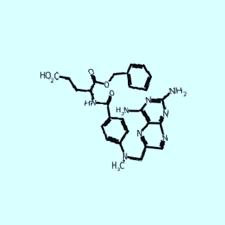 CN(Cc1cnc2nc(N)nc(N)c2n1)c1ccc(C(=O)NC(CCC(=O)O)C(=O)OCc2ccccc2)cc1